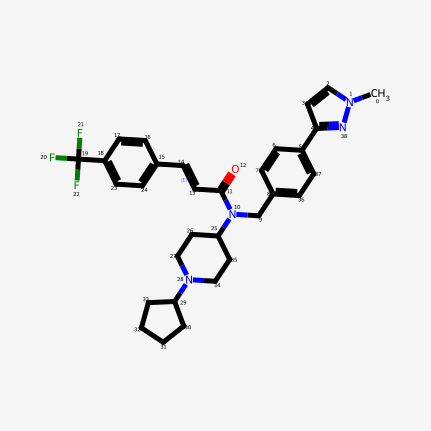 Cn1ccc(-c2ccc(CN(C(=O)/C=C/c3ccc(C(F)(F)F)cc3)C3CCN(C4CCCC4)CC3)cc2)n1